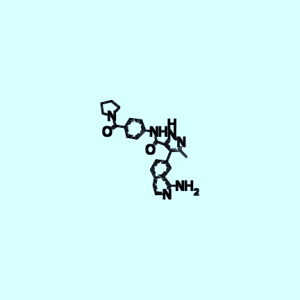 Cc1n[nH]c(C(=O)Nc2ccc(C(=O)N3CCCC3)cc2)c1-c1ccc2ccnc(N)c2c1